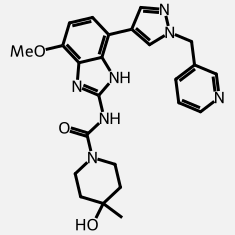 COc1ccc(-c2cnn(Cc3cccnc3)c2)c2[nH]c(NC(=O)N3CCC(C)(O)CC3)nc12